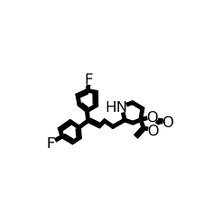 C=C1OC(=O)OC12CCNC(CCC=C(c1ccc(F)cc1)c1ccc(F)cc1)C2